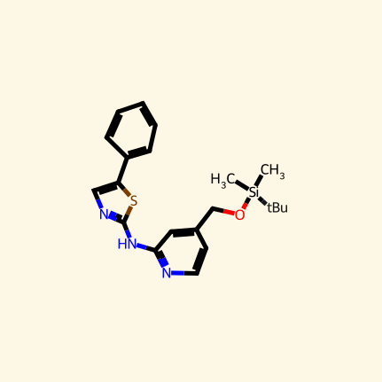 CC(C)(C)[Si](C)(C)OCc1ccnc(Nc2ncc(-c3ccccc3)s2)c1